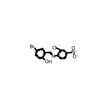 O=[N+]([O-])c1ccc(/N=C/c2cc(Br)ccc2O)c(Cl)c1